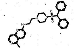 Cc1nccc2nc(NCCN3CCN(S(=O)(=O)C(c4ccccc4)c4ccccc4)CC3)ccc12